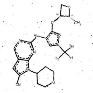 [2H]C([2H])([2H])n1cc(Nc2ncc3cc(C#N)n(C4CCOCC4)c3n2)c(O[C@H]2CO[C@@H]2C)n1